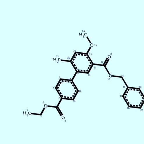 CCOC(=O)c1ccc(-c2cc(C(=O)OCc3ccccc3)c(OC)cc2P)cc1